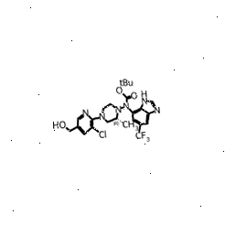 C[C@@H]1CN(c2ncc(CO)cc2Cl)CCN1N(C(=O)OC(C)(C)C)c1cc(C(F)(F)F)cc2nc[nH]c12